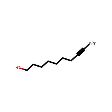 CCCC#CCCCCCCC[O]